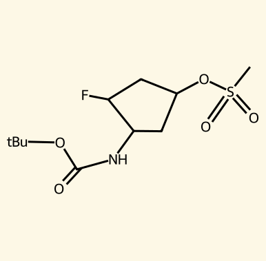 CC(C)(C)OC(=O)NC1CC(OS(C)(=O)=O)CC1F